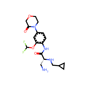 NC[C@@H](NCC1CC1)C(=O)Nc1ccc(N2CCOCC2=O)cc1OC(F)F